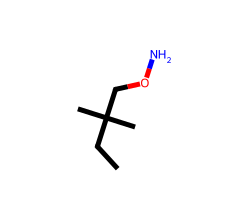 CCC(C)(C)CON